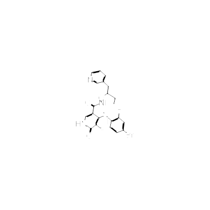 CCC(Cc1cccnc1)ONC(=O)c1c[nH]c(=O)c(F)c1Nc1ccc(Br)cc1F